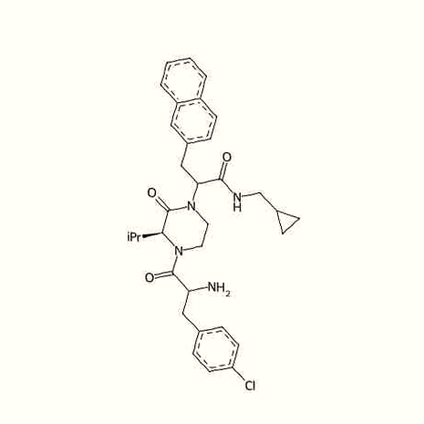 CC(C)[C@H]1C(=O)N(C(Cc2ccc3ccccc3c2)C(=O)NCC2CC2)CCN1C(=O)C(N)Cc1ccc(Cl)cc1